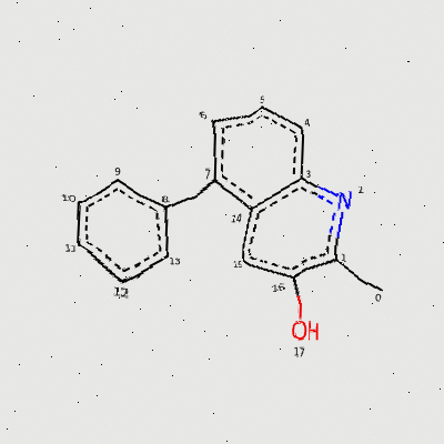 Cc1nc2cccc(-c3ccccc3)c2cc1O